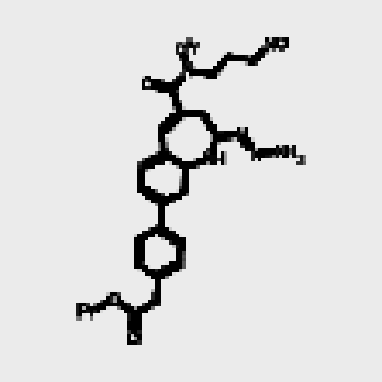 CCCN(CCCN=O)C(=O)C1=CC2=CC=C(c3ccc(CC(=O)OC(C)C)cc3)CC2NC(N=NN)C1